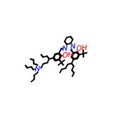 CCCCC(CCCC)c1cc(/C=N/[C@H]2CCCC[C@@H]2/N=C/c2cc(C(CCC)CCC[N+](CCCC)(CCCC)CCCC)cc(C(C)(C)C)c2O)c(O)c(C(C)(C)C)c1